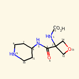 O=C(O)NC1(C(=O)NC2CCNCC2)COC1